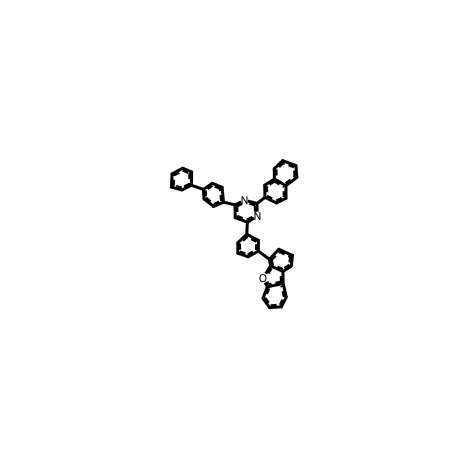 c1ccc(-c2ccc(-c3cc(-c4cccc(-c5cccc6c5oc5ccccc56)c4)nc(-c4ccc5ccccc5c4)n3)cc2)cc1